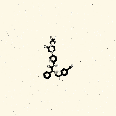 C[C@H](CN[C@H](C(=O)Nc1ccc(N2CCN(CC(F)(F)F)C(=O)C2)cn1)c1ccccc1)c1ccc(C#N)cc1